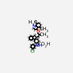 C[C@@H](COc1ccnc2c1[C@H](C)CC[C@@H]2C)CC1Cc2ccccc2C12CCC(Nc1cccc(Cl)c1)(C(=O)O)CC2